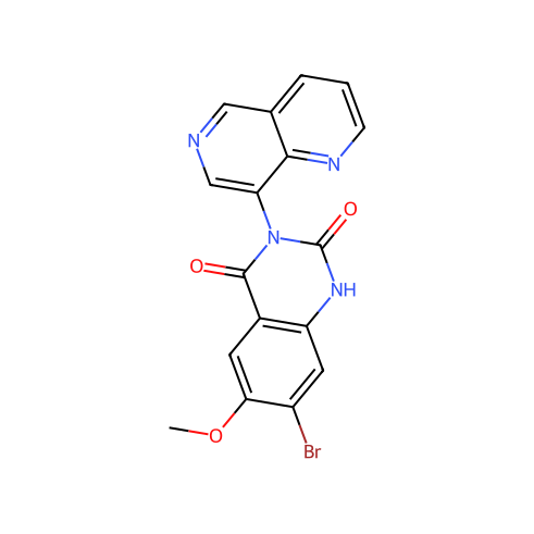 COc1cc2c(=O)n(-c3cncc4cccnc34)c(=O)[nH]c2cc1Br